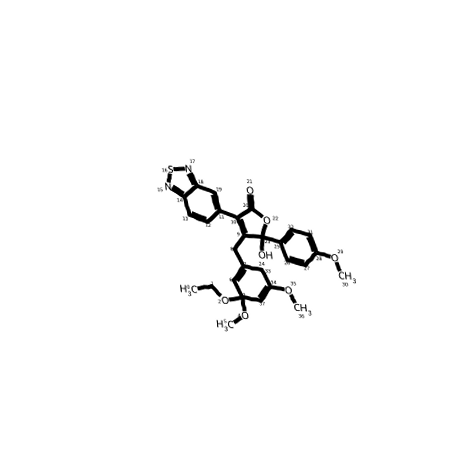 CCOC1(OC)C=C(CC2=C(c3ccc4nsnc4c3)C(=O)OC2(O)c2ccc(OC)cc2)CC(OC)=C1